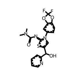 CN(C)C(=O)/N=c1\sc(C(O)c2ccccn2)cn1-c1ccc2c(c1)OC(F)(F)O2